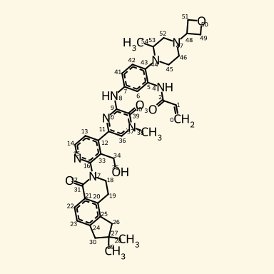 C=CC(=O)Nc1cc(Nc2nc(-c3ccnc(N4CCc5c(ccc6c5CC(C)(C)C6)C4=O)c3CO)cn(C)c2=O)ccc1N1CCN(C2COC2)CC1C